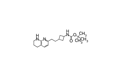 CC(C)(C)OC(=O)NC1CC(CCc2ccc3c(n2)NCCC3)C1